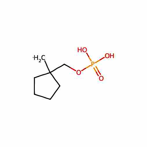 [CH2]C1(COP(=O)(O)O)CCCC1